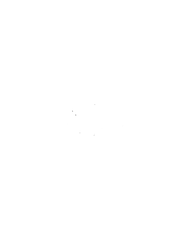 CC(C)/C1=C/CCN(C(C)C)CCC1